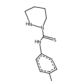 S=C(Nc1ccc(Cl)cc1)N1CCCCN1